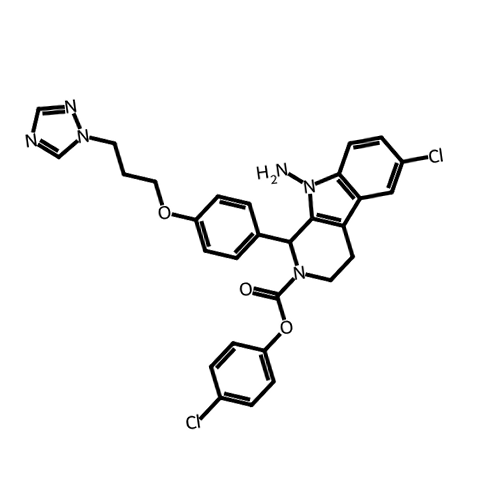 Nn1c2c(c3cc(Cl)ccc31)CCN(C(=O)Oc1ccc(Cl)cc1)C2c1ccc(OCCCn2cncn2)cc1